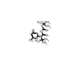 CC(C)(C)OC(=O)OC(=O)N(c1nc(Cl)cc(Cl)n1)C(C)(C)C